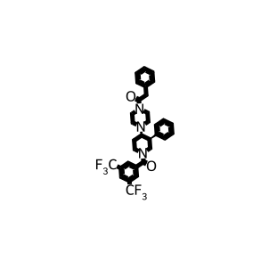 O=C(Cc1ccccc1)N1CCN([C@@H]2CCN(C(=O)c3cc(C(F)(F)F)cc(C(F)(F)F)c3)C[C@@H]2c2ccccc2)CC1